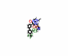 CCn1ccn2c(=O)c(-c3cccc(-c4ccc(C(F)(F)F)cc4Cl)c3)c(O)[n+](Cc3cnc(Cl)s3)c12